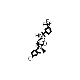 Cc1cc(Cl)ccc1-c1nn(CC(=O)NC(C)(C)c2cccc(C(F)(F)F)c2)c(=O)n1C1CC1